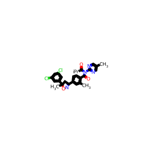 Cc1cnc(N(C(=O)c2ccc(C3=NOC(C)(c4cc(Cl)cc(Cl)c4)C3)cc2C)C(=O)C(C)C)nc1